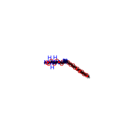 C=NOCC(=O)NCC(=O)NCC(=O)NCC(=O)NCCNC(=O)OCc1cn(CCOCCOCCOCCOCCOCCOCCOCCOCCOCCC)nn1